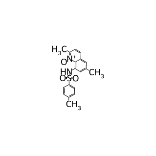 Cc1ccc(S(=O)(=O)Nc2cc(C)cc3ccc(C)[n+]([O-])c23)cc1